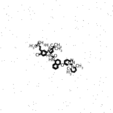 C[C@@H]1CCC[C@H](C)N1c1nnc2ccc(O[C@@H]3CC[C@H](NC(=O)Nc4cc(C(C)(C)C)nn4-c4ccc(Cl)c(CCN(C)C)c4)c4ccccc43)cn12